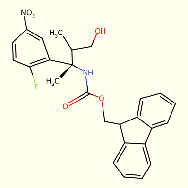 CC(CO)[C@](C)(NC(=O)OCC1c2ccccc2-c2ccccc21)c1cc([N+](=O)[O-])ccc1F